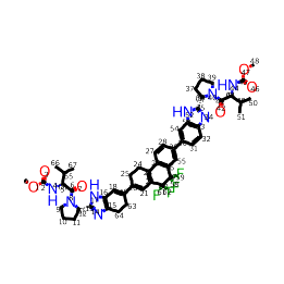 COC(=O)N[C@H](C(=O)N1CCC[C@H]1c1nc2c([nH]1)C=C(C1=CC3=C(CC1)c1ccc(-c4ccc5nc([C@@H]6CCCN6C(=O)[C@@H](NC(=O)OC)C(C)C)[nH]c5c4)cc1C(F)(F)C3(F)F)CC2)C(C)C